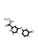 CNC(=O)c1cc(Oc2cc[c]c(Cl)c2)ccn1